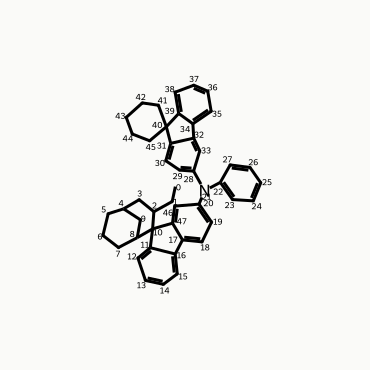 CCC1CC2CCCC(C2)C12c1ccccc1-c1ccc(N(c3ccccc3)c3ccc4c(c3)-c3ccccc3C43CCCCC3)cc12